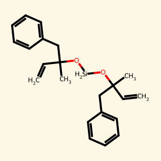 C=CC(C)(Cc1ccccc1)O[SiH2]OC(C)(C=C)Cc1ccccc1